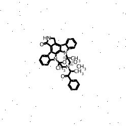 CO[C@@H]1N(C(C)C(=O)c2ccccc2)CC2(C)O[C@]1(C)n1c3ccccc3c3c4c(c5c6ccccc6n2c5c31)C(=O)NC4